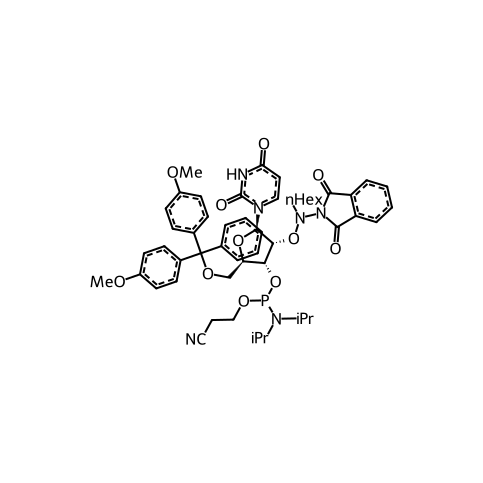 CCCCCCN(O[C@@H]1[C@H](OP(OCCC#N)N(C(C)C)C(C)C)[C@@H](COC(c2ccccc2)(c2ccc(OC)cc2)c2ccc(OC)cc2)O[C@H]1n1ccc(=O)[nH]c1=O)N1C(=O)c2ccccc2C1=O